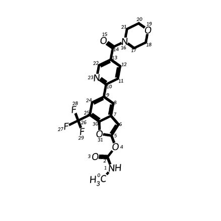 CNC(=O)Oc1cc2cc(-c3ccc(C(=O)N4CCOCC4)cn3)cc(C(F)(F)F)c2o1